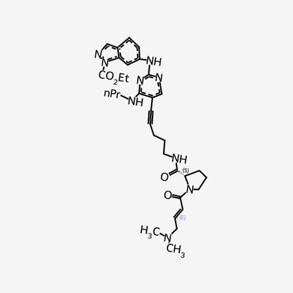 CCCNc1nc(Nc2ccc3cnn(C(=O)OCC)c3c2)ncc1C#CCCCNC(=O)[C@@H]1CCCN1C(=O)/C=C/CN(C)C